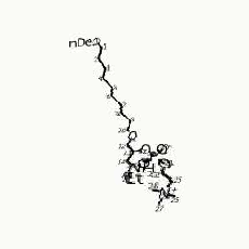 CCCCCCCCCCCCCCCCCCCCOCC(CNCC)OP(=O)([O-])OCC[N+](C)(C)C